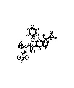 CS(=O)(=O)C=CC(NC(=O)c1cc(F)c(C(F)(F)C2CC2)nc1Oc1ccccc1)C1CC1